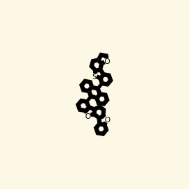 c1ccc2c(c1)oc1ccc3c(oc4cccc(-c5c6ccccc6c(-c6cccc7c6sc6ccc8ccoc8c67)c6ccccc56)c43)c12